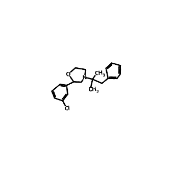 CC(C)(Cc1ccccc1)N1CCOC(c2cccc(Cl)c2)C1